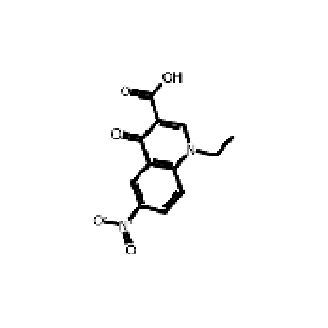 CCn1cc(C(=O)O)c(=O)c2cc([N+](=O)[O-])ccc21